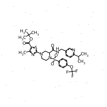 Cc1nc(N2CCN(S(=O)(=O)c3ccc(OC(F)(F)F)cc3)C(C(=O)NCc3ccc(C(C)C)nc3)C2)sc1C(=O)OC(C)(C)C